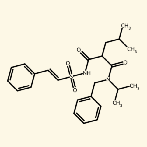 CC(C)CC(C(=O)NS(=O)(=O)C=Cc1ccccc1)C(=O)N(Cc1ccccc1)C(C)C